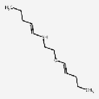 CCCC=CNCCOC=CCCC